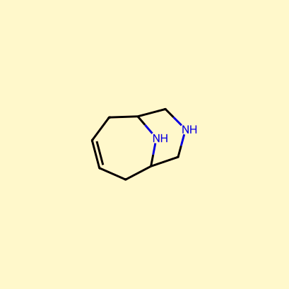 C1=CCC2CNCC(C1)N2